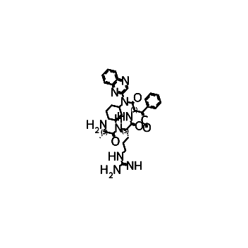 C[C@H](N)C(=O)N[C@@H](CCCNC(=N)N)C(=O)N[C@H](C(=O)N(c1cnc2ccccc2n1)C1CCCCC1)C(=C=O)c1ccccc1